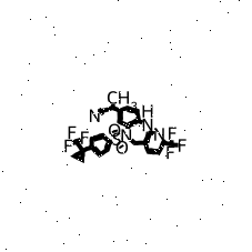 CC(C#N)c1ccc2c(c1)N(S(=O)(=O)c1ccc(C3(C(F)(F)F)CC3)cc1)Cc1ccc(C(F)(F)F)nc1N2